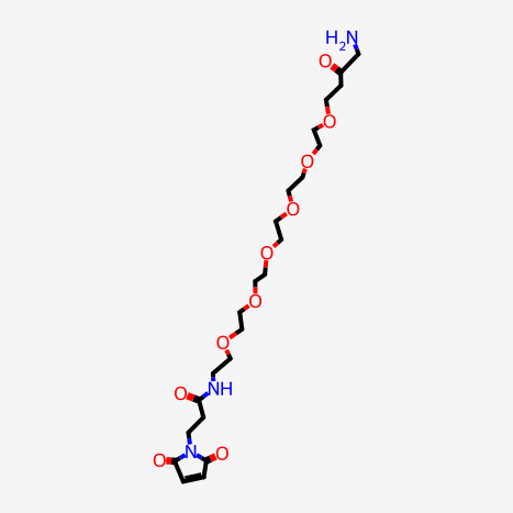 NCC(=O)CCOCCOCCOCCOCCOCCOCCNC(=O)CCN1C(=O)C=CC1=O